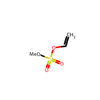 C=COS(=O)(=O)OC